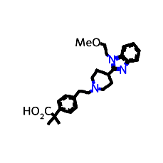 COCCn1c(C2CCN(CCc3ccc(C(C)(C)C(=O)O)cc3)CC2)nc2ccccc21